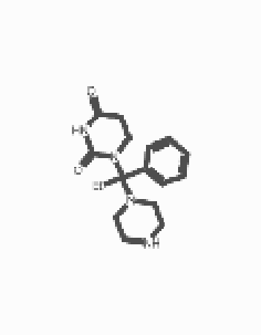 CCC(c1ccccc1)(N1CCNCC1)N1CCC(=O)NC1=O